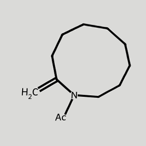 C=C1CCCCCCCCN1C(C)=O